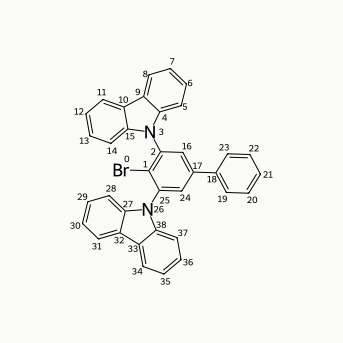 Brc1c(-n2c3ccccc3c3ccccc32)cc(-c2ccccc2)cc1-n1c2ccccc2c2ccccc21